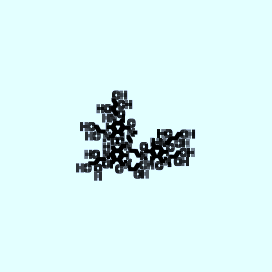 CN(CCCN(CCN(C)C(=O)c1c(I)c(NC(=O)C(O)C(O)CO)c(I)c(C(=O)N(C)CC(O)CO)c1I)C(=O)c1c(I)c(NC(=O)C(O)C(O)CO)c(I)c(C(=O)N(C)CC(O)CO)c1I)C(=O)c1c(I)c(NC(=O)C(O)C(O)CO)c(I)c(C(=O)N(C)CC(O)CO)c1I